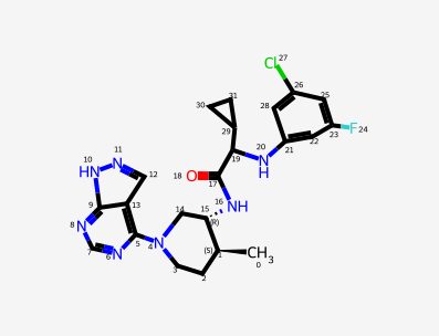 C[C@H]1CCN(c2ncnc3[nH]ncc23)C[C@@H]1NC(=O)C(Nc1cc(F)cc(Cl)c1)C1CC1